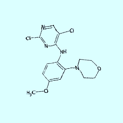 COc1ccc(Nc2nc(Cl)ncc2Cl)c(N2CCOCC2)c1